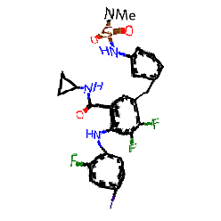 CNS(=O)(=O)Nc1cccc(Cc2cc(C(=O)NC3CC3)c(Nc3ccc(I)cc3F)c(F)c2F)c1